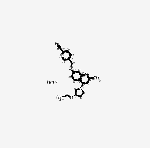 CCO[C@H]1CCN(c2cc(C)nc3cc(OCc4ccc(C#N)nc4)ccc23)C1.Cl